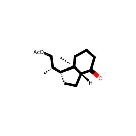 CC(=O)OC[C@@H](C)[C@H]1CC[C@H]2C(=O)CCC[C@]12C